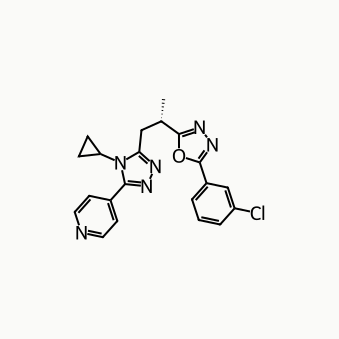 C[C@@H](Cc1nnc(-c2ccncc2)n1C1CC1)c1nnc(-c2cccc(Cl)c2)o1